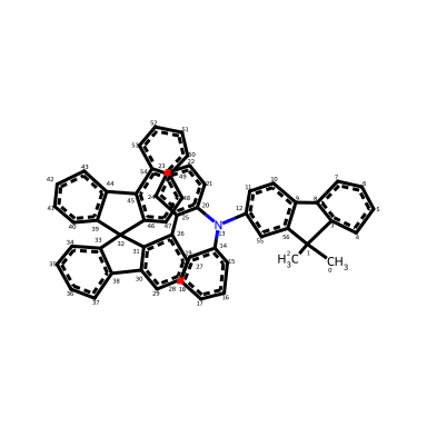 CC1(C)c2ccccc2-c2ccc(N(c3ccccc3)c3ccccc3-c3cccc4c3C3(c5ccccc5-4)c4ccccc4-c4c3ccc3ccccc43)cc21